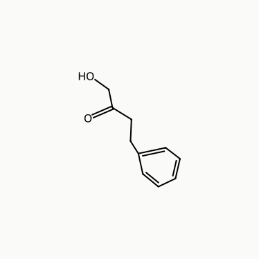 O=C(CO)CCc1ccccc1